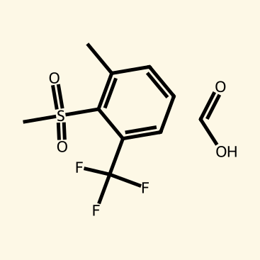 Cc1cccc(C(F)(F)F)c1S(C)(=O)=O.O=CO